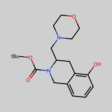 CC(C)(C)OC(=O)N1Cc2cccc(O)c2CC1CN1CCOCC1